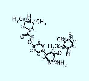 CC(Oc1cc(-c2ccc(OCC(=O)N3C[C@@H](C)N[C@@H](C)C3)cc2)cnc1N)c1c(Cl)ccc(F)c1Cl